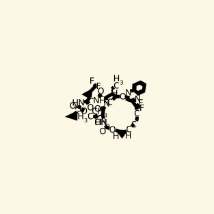 CC[C@@H]1[C@@H]2CN(C(=O)[C@H](C(C)(C)C)NC(=O)O[C@@H]3C[C@H]3CCCCC(F)(F)c3nc4ccccc4nc3O2)[C@@H]1C(=O)N[C@]1(C(=O)NS(=O)(=O)C2CC2)CC1C(F)F